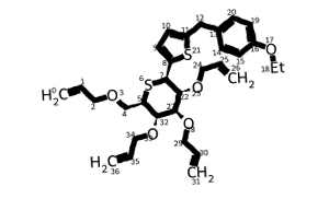 C=CCOC[C@H]1S[C@@H](c2ccc(Cc3ccc(OCC)cc3)s2)[C@H](OCC=C)[C@@H](OCC=C)[C@@H]1OCC=C